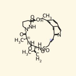 C=C(C)[C@@H]1NS(=O)(=O)C/C=C/c2cc3cc(ccc3cn2)[C@@H](C)OC(=O)[C@@H]2CCCN(N2)C(=O)[C@H](C)NC1=O